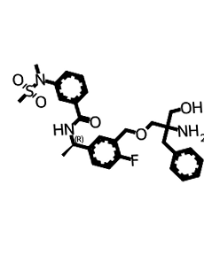 C[C@@H](NC(=O)c1cccc(N(C)S(C)(=O)=O)c1)c1ccc(F)c(COCC(N)(CO)Cc2ccccc2)c1